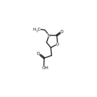 CCN1CC(CC(=O)O)OC1=O